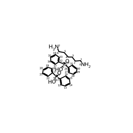 NCCCCCCN.O=P(O)(c1ccccc1)c1ccccc1.O=P(O)(c1ccccc1)c1ccccc1